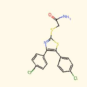 NC(=O)CSc1nc(-c2ccc(Cl)cc2)c(-c2ccc(Cl)cc2)s1